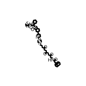 O=C(CCCN1CCN(c2ccc(-c3ccc4c(c3)C(=O)N(C(C(=O)Nc3nccs3)c3ccccc3)C4)cn2)CC1)CCC(=O)CCC(=O)CCNC(=O)CC12CC3CC(CC(C3)C1)C2